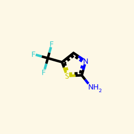 Nc1ncc(C(F)(F)F)s1